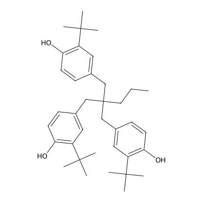 CCCC(Cc1ccc(O)c(C(C)(C)C)c1)(Cc1ccc(O)c(C(C)(C)C)c1)Cc1ccc(O)c(C(C)(C)C)c1